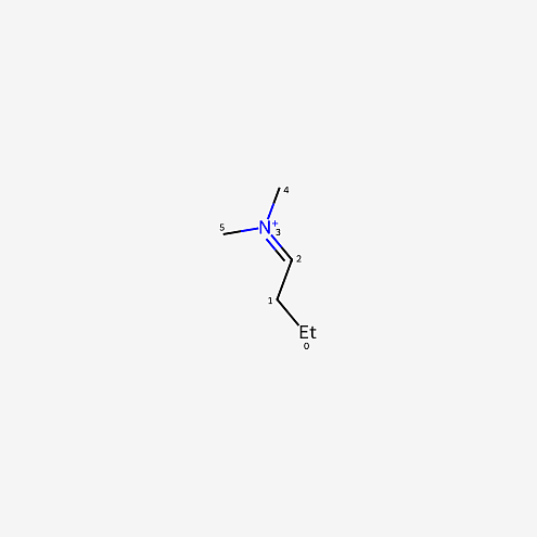 CCCC=[N+](C)C